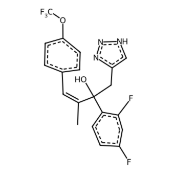 CC(=Cc1ccc(OC(F)(F)F)cc1)C(O)(Cc1c[nH]nn1)c1ccc(F)cc1F